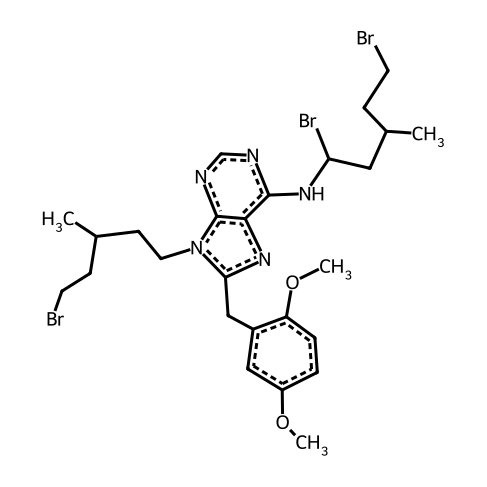 COc1ccc(OC)c(Cc2nc3c(NC(Br)CC(C)CCBr)ncnc3n2CCC(C)CCBr)c1